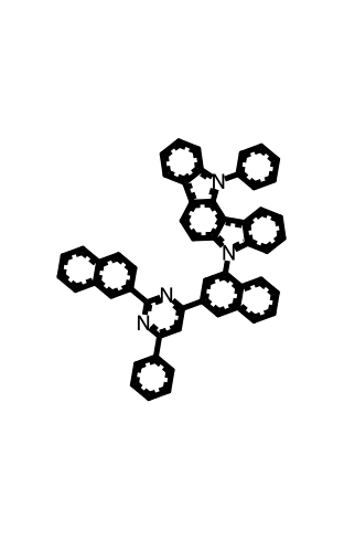 c1ccc(-c2cc(-c3cc(-n4c5ccccc5c5c4ccc4c6ccccc6n(-c6ccccc6)c45)c4ccccc4c3)nc(-c3ccc4ccccc4c3)n2)cc1